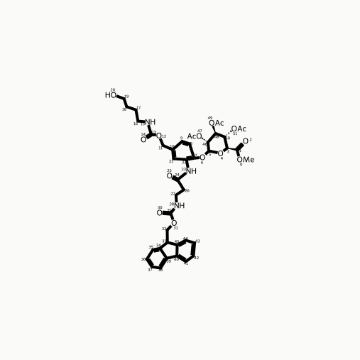 COC(=O)[C@H]1OC(Oc2ccc(COC(=O)NCCCCO)cc2NC(=O)CCNC(=O)OCC2c3ccccc3-c3ccccc32)[C@H](OC(C)=O)[C@@H](OC(C)=O)[C@@H]1OC(C)=O